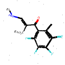 CCN/C=C(\C(=O)OCC)C(=O)c1c(C)c(F)c(F)c(F)c1F